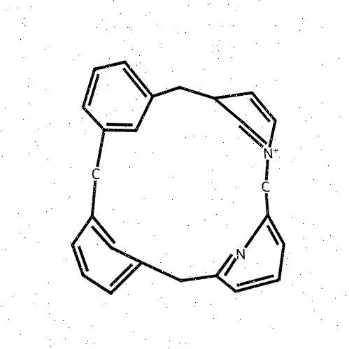 C1=C[N+]2=CC1Cc1cccc(c1)Cc1cccc(c1)Cc1cccc(n1)C2